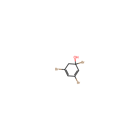 OC1(Br)C=C(Br)C=C(Br)C1